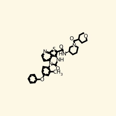 Cc1cc(Oc2ccccc2)ccc1N1C(=O)Nc2c(C(=O)N[C@@H]3CCCN(C(=O)C4CCOCC4)C3)sc3nccc1c23